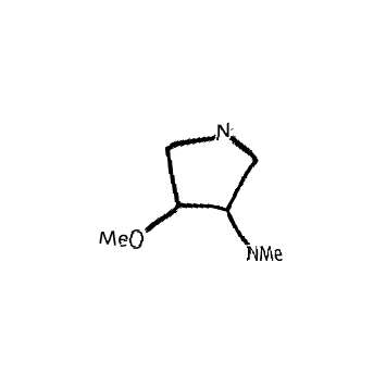 CNC1C[N]CC1OC